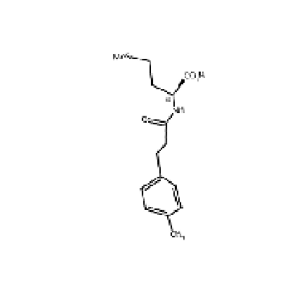 CSCC[C@H](NC(=O)CCc1ccc(C)cc1)C(=O)O